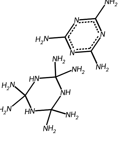 NC1(N)NC(N)(N)NC(N)(N)N1.Nc1nc(N)nc(N)n1